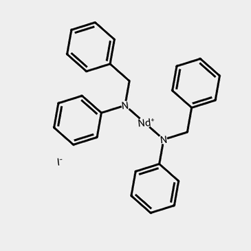 [I-].c1ccc(C[N]([Nd+][N](Cc2ccccc2)c2ccccc2)c2ccccc2)cc1